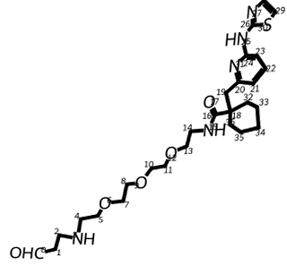 O=CCCNCCOCCOCCOCCNC(=O)C1(Cc2cccc(Nc3nccs3)n2)CCCCC1